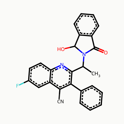 CC(c1nc2ccc(F)cc2c(C#N)c1-c1ccccc1)N1C(=O)c2ccccc2C1O